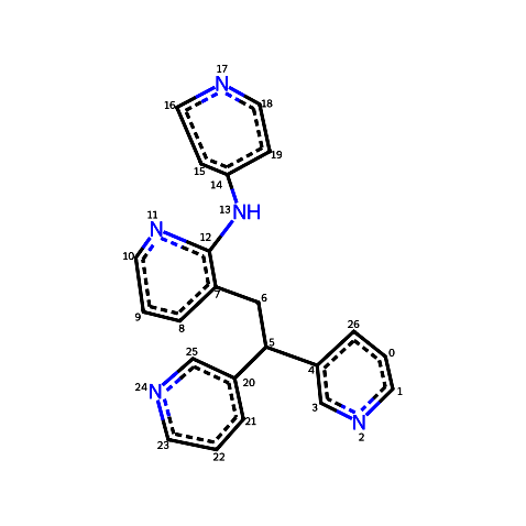 c1cncc(C(Cc2cccnc2Nc2ccncc2)c2cccnc2)c1